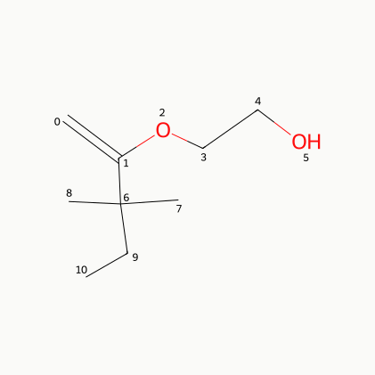 C=C(OCCO)C(C)(C)CC